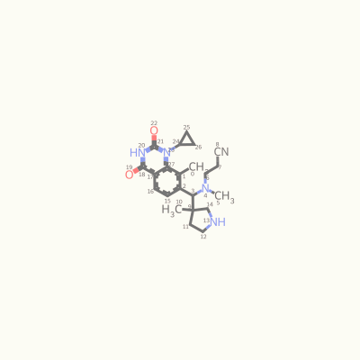 Cc1c(C(N(C)CCC#N)C2(C)CCNC2)ccc2c(=O)[nH]c(=O)n(C3CC3)c12